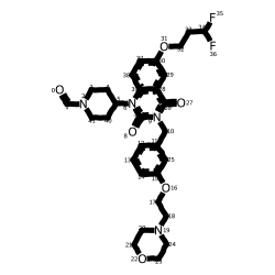 O=CN1CCC(n2c(=O)n(Cc3cccc(OCCN4CCOCC4)c3)c(=O)c3cc(OCCC(F)F)ccc32)CC1